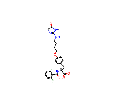 CN1C(=O)CN=C1NCCCCOc1ccc(C[C@H](NC(=O)c2c(Cl)cccc2Cl)C(=O)O)cc1